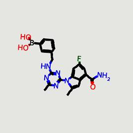 Cc1nc(NCc2cccc(B(O)O)c2)nc(-n2c(C)cc3c(C(N)=O)cc(F)cc32)n1